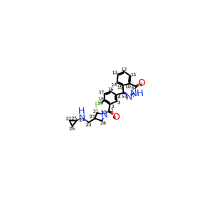 O=C(c1cc(-c2n[nH]c(=O)c3ccccc23)ccc1F)N1CC(CNC2CC2)C1